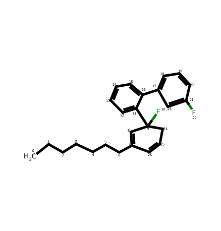 CCCCCCCC1=CC(F)(c2ccccc2-c2cccc(F)c2)CC=C1